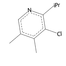 Cc1cnc(C(C)C)c(Cl)c1C